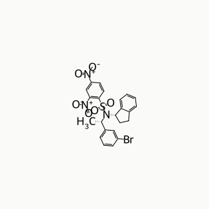 C[C@@H](c1cccc(Br)c1)N([C@H]1CCc2ccccc21)S(=O)(=O)c1ccc([N+](=O)[O-])cc1[N+](=O)[O-]